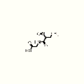 CCC(N=O)C(=O)NCC(=O)O